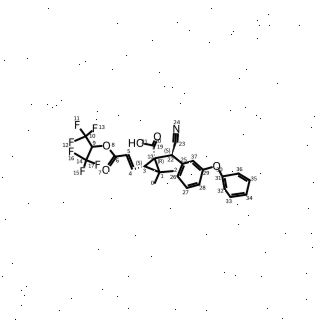 CC1(C)[C@H](C=CC(=O)OC(C(F)(F)F)C(F)(F)F)[C@@]1(C(=O)O)[C@@H](C#N)c1cccc(Oc2ccccc2)c1